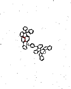 c1ccc(-c2ccccc2N(c2ccc(-c3cccc4c3-c3ccccc3C43c4ccc5ccccc5c4Oc4c3ccc3ccccc43)cc2)c2ccc3c(c2)-c2ccccc2C3(c2ccccc2)c2ccccc2)cc1